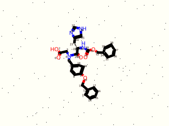 O=C(O)CN(Cc1ccc(OCc2ccccc2)cc1)C(=O)[C@H](Cc1c[nH]cn1)NC(=O)OCc1ccccc1